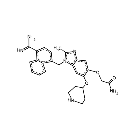 Cc1nc2cc(OCC(N)=O)c(OC3CCNCC3)cc2n1Cc1ccc(C(=N)N)c2ccccc12